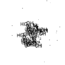 CC1(C)CCC(O/N=C(\C(=O)N[C@H]2CON(C3(C(=O)O)C[C@H](N4C(=O)c5cc(O)c(O)cc5C4=O)C(=O)O3)C2=O)c2csc(N)n2)(C(=O)O)CC1.Nc1nc(/C(=N/OC(CO)(CO)C(=O)O)C(=O)N[C@H]2CON(C3(C(=O)O)C[C@H](N4C(=O)c5cc(O)c(O)cc5C4=O)C(=O)O3)C2=O)cs1